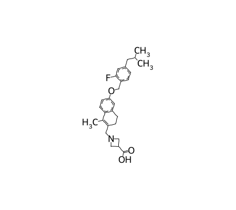 CC1=C(CN2CC(C(=O)O)C2)CCc2cc(OCc3ccc(CC(C)C)cc3F)ccc21